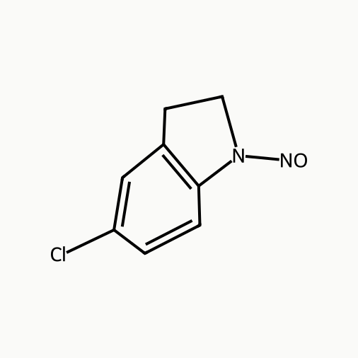 O=NN1CCc2cc(Cl)ccc21